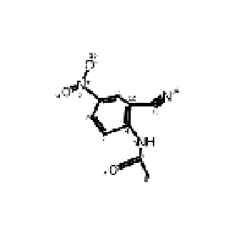 CC(=O)Nc1ccc([N+](=O)[O-])cc1C#N